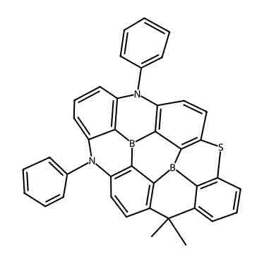 CC1(C)c2cccc3c2B2c4c(ccc5c4B4c6c(cccc6N(c6ccccc6)c6ccc1c2c64)N5c1ccccc1)S3